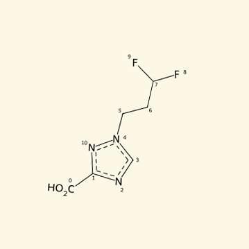 O=C(O)c1ncn(CCC(F)F)n1